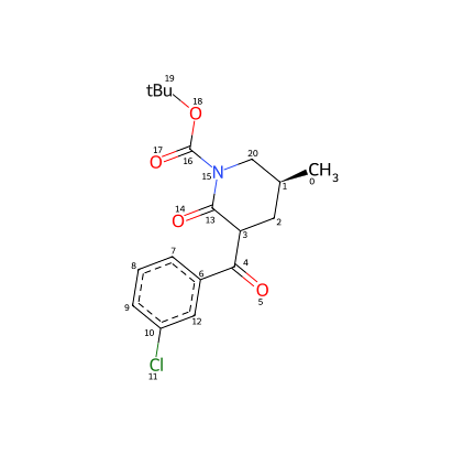 C[C@H]1CC(C(=O)c2cccc(Cl)c2)C(=O)N(C(=O)OC(C)(C)C)C1